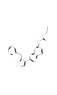 CCNC(=O)Nc1ccc2ncc(-c3c[nH]nc3Cc3cccnn3)nc2n1